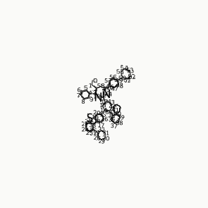 CCC1=C(c2ccccc2)N=C(C2=CC(c3ccc4c(c3)sc3cccc(C5=CCCC=C5)c34)=C3c4ccccc4OC3C2)N=C(c2ccc(C3C=CC=CC3)cc2)C1